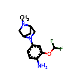 CN1CC2CC1CN2c1ccc(N)c(OC(F)F)c1